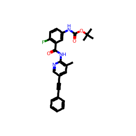 Cc1cc(C#Cc2ccccc2)cnc1NC(=O)c1cc(NC(=O)OC(C)(C)C)ccc1F